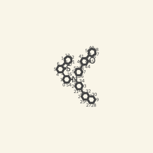 c1cc(-c2cccc3c2sc2ccccc23)cc(N(c2ccc(-c3ccc4ccccc4c3)cc2)c2ccc(-c3ccc4c(c3)oc3ccccc34)cc2)c1